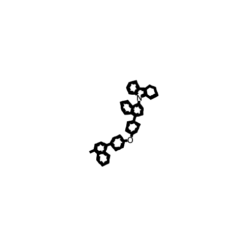 Cc1ccc(-c2ccc(Oc3ccc(-c4ccc(-n5c6c(c7ccccc75)CCC=C6)c5ccccc45)cc3)cc2)c2ccccc12